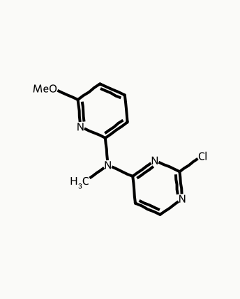 COc1cccc(N(C)c2ccnc(Cl)n2)n1